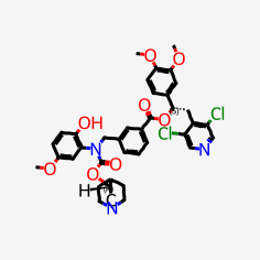 COc1ccc(O)c(N(Cc2cccc(C(=O)O[C@@H](Cc3c(Cl)cncc3Cl)c3ccc(OC)c(OC)c3)c2)C(=O)O[C@H]2CN3CCC2CC3)c1